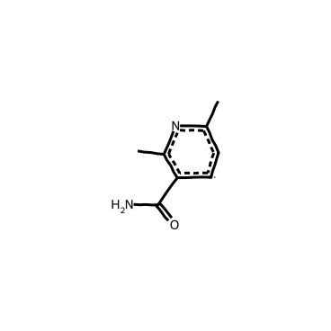 Cc1c[c]c(C(N)=O)c(C)n1